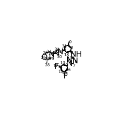 Cc1cc(Nc2ncn(-c3cc(F)cc(F)c3)n2)cc(N2CC(N3CCO[C@H](C)C3)C2)c1